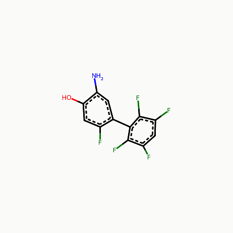 Nc1cc(-c2c(F)c(F)cc(F)c2F)c(F)cc1O